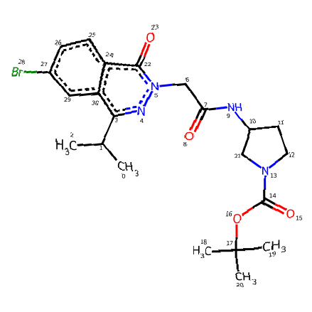 CC(C)c1nn(CC(=O)NC2CCN(C(=O)OC(C)(C)C)C2)c(=O)c2ccc(Br)cc12